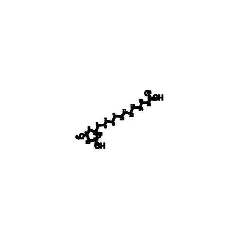 CCC(CCCCCCCCCCCCCCC(=O)O)CC(=O)O